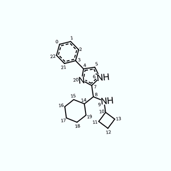 c1ccc(-c2c[nH]c(C(NC3CCC3)C3CCCCC3)n2)cc1